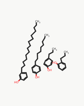 CCCCCCCCCCCCCCCc1cccc(O)c1.CCCCCCCCCc1ccc(O)cc1.CCCc1ccc(O)cc1.CCCc1ccccc1O